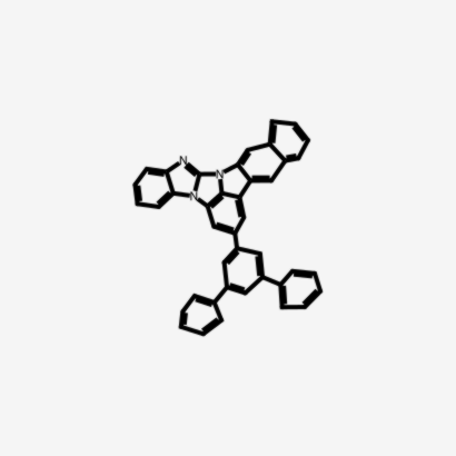 c1ccc(-c2cc(-c3ccccc3)cc(-c3cc4c5cc6ccccc6cc5n5c4c(c3)n3c4ccccc4nc35)c2)cc1